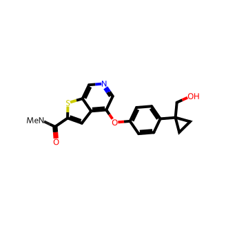 CNC(=O)c1cc2c(Oc3ccc(C4(CO)CC4)cc3)cncc2s1